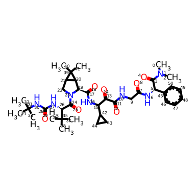 CN(C)C(=O)[C@@H](NC(=O)CNC(=O)C(=O)C(NC(=O)[C@@H]1C2C(CN1C(=O)[C@@H](NC(=O)NC(C)(C)C)C(C)(C)C)C2(C)C)C1CC1)c1ccccc1